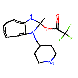 CC1(OC(=O)C(F)(F)F)Nc2ccccc2N1C1CCNCC1